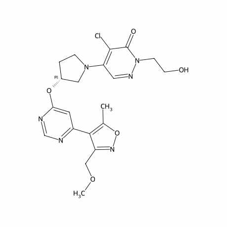 COCc1noc(C)c1-c1cc(O[C@@H]2CCN(c3cnn(CCO)c(=O)c3Cl)C2)ncn1